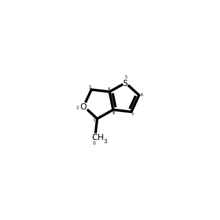 CC1OCc2sccc21